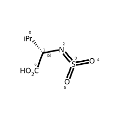 CC(C)[C@H](N=S(=O)=O)C(=O)O